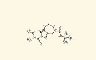 CON(C)C(=O)c1cc2n(n1)CCCN(C(=O)OC(C)(C)C)C2